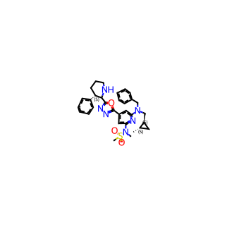 C[C@H]1C[C@@H]1CN(Cc1ccccc1)c1cc(-c2nnc(C3NCCC[C@H]3c3ccccc3)o2)cc(N(C)S(C)(=O)=O)n1